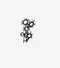 O=c1[nH]c2c(F)cccc2n1C1CCN(C2(c3ccccc3)CCCCCC2)CC1